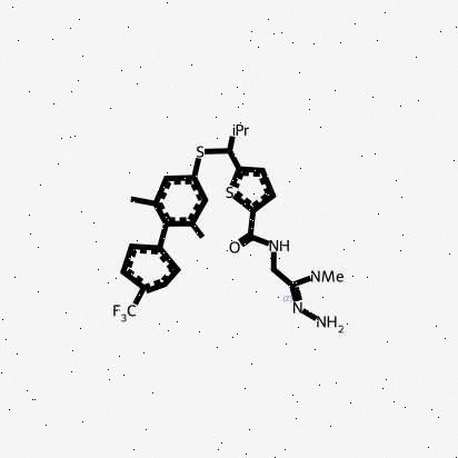 CN/C(CNC(=O)c1ccc(C(Sc2cc(C)c(-c3ccc(C(F)(F)F)cc3)c(C)c2)C(C)C)s1)=N\N